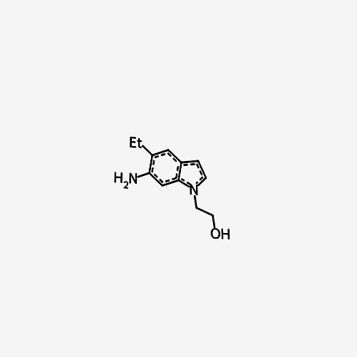 CCc1cc2ccn(CCO)c2cc1N